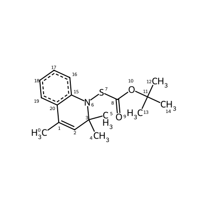 CC1=CC(C)(C)N(SC(=O)OC(C)(C)C)c2ccccc21